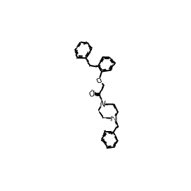 O=C(COc1ccccc1Cc1ccccc1)N1CCN(Cc2ccccc2)CC1